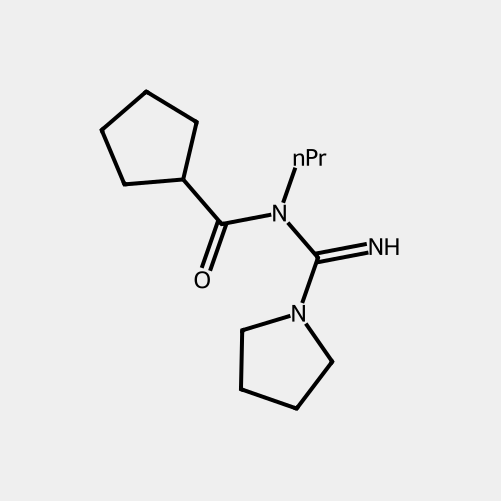 CCCN(C(=N)N1CCCC1)C(=O)C1CCCC1